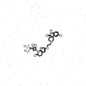 CC(C)[C@]1(O)C[C@@H](N2C(=O)CCc3cc(OCCN4CCC5(CC4)C(=O)Nc4ccc(Cl)cc45)cnc32)C1